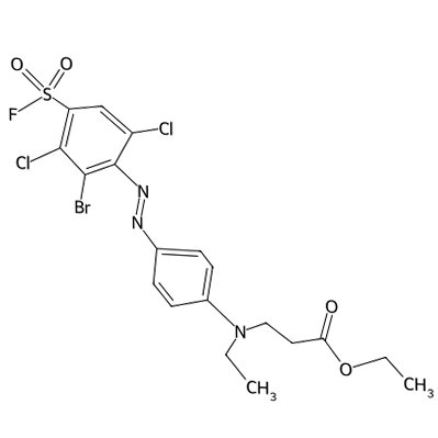 CCOC(=O)CCN(CC)c1ccc(N=Nc2c(Cl)cc(S(=O)(=O)F)c(Cl)c2Br)cc1